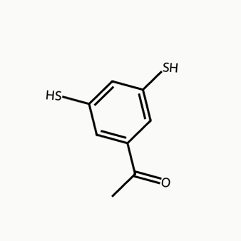 CC(=O)c1cc(S)cc(S)c1